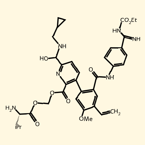 C=Cc1cc(C(=O)Nc2ccc(C(=N)NC(=O)OCC)cc2)c(-c2ccc(C(O)NCC3CC3)nc2C(=O)OCOC(=O)[C@@H](N)C(C)C)cc1OC